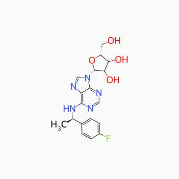 C[C@@H](Nc1ncnc2c1ncn2[C@@H]1O[C@H](CO)C(O)C1O)c1ccc(F)cc1